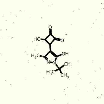 Cc1nn(C(C)(C)C)c(O)c1C1C(=O)C(=O)C1O